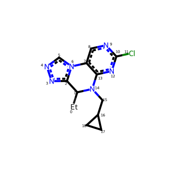 CCC1c2nncn2-c2cnc(Cl)nc2N1CC1CC1